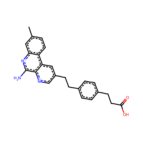 Cc1ccc2c(c1)nc(N)c1ncc(CCc3ccc(CCC(=O)O)cc3)cc12